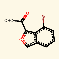 O=CC(=O)c1occ2cccc(Br)c12